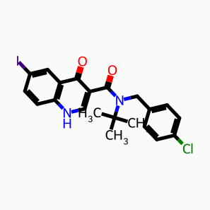 CC(C)(C)N(Cc1ccc(Cl)cc1)C(=O)c1c[nH]c2ccc(I)cc2c1=O